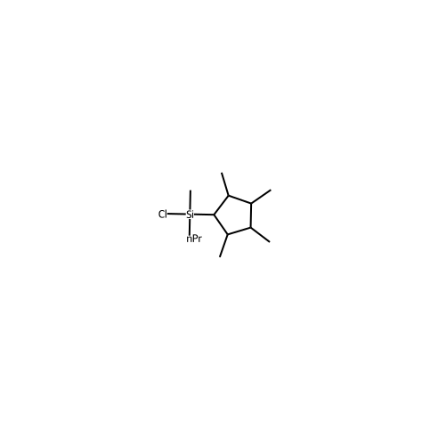 CCC[Si](C)(Cl)C1C(C)C(C)C(C)C1C